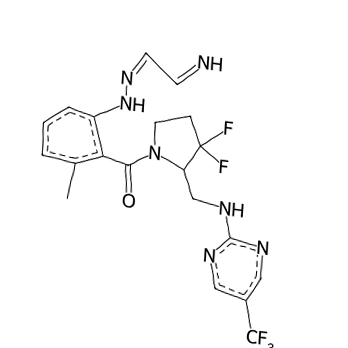 Cc1cccc(N/N=C\C=N)c1C(=O)N1CCC(F)(F)C1CNc1ncc(C(F)(F)F)cn1